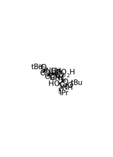 CC(C)C[C@H](NC(=O)OC(C)(C)C)C(O)CN(CC(C)C)N[C@H](C(=O)O)C(C)(C)C(=O)NC(=O)OC(C)(C)C